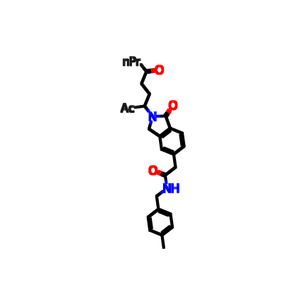 CCCC(=O)CCC(C(C)=O)N1Cc2cc(CC(=O)NCc3ccc(C)cc3)ccc2C1=O